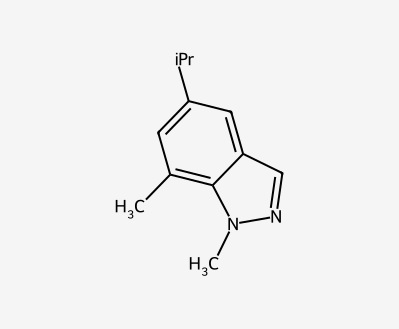 Cc1cc(C(C)C)cc2cnn(C)c12